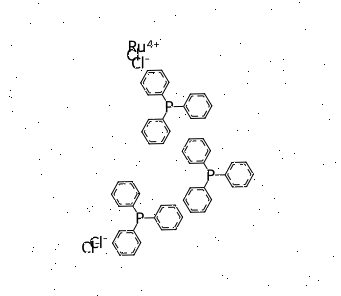 [Cl-].[Cl-].[Cl-].[Cl-].[Ru+4].c1ccc(P(c2ccccc2)c2ccccc2)cc1.c1ccc(P(c2ccccc2)c2ccccc2)cc1.c1ccc(P(c2ccccc2)c2ccccc2)cc1